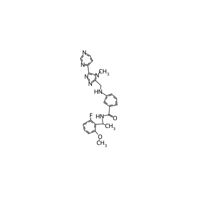 COc1cccc(F)c1C(C)NC(=O)c1cccc(NCc2nnc(-c3ccncn3)n2C)c1